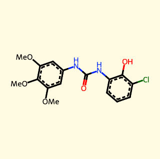 COc1cc(NC(=O)Nc2cccc(Cl)c2O)cc(OC)c1OC